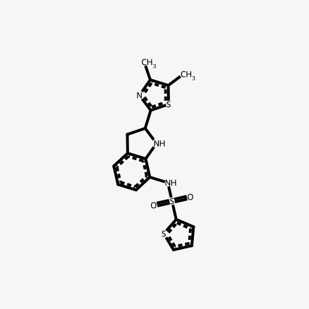 Cc1nc(C2Cc3cccc(NS(=O)(=O)c4cccs4)c3N2)sc1C